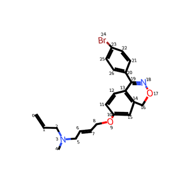 C=CCN(C)C/C=C/COc1ccc2c(c1)CON=C2c1ccc(Br)cc1